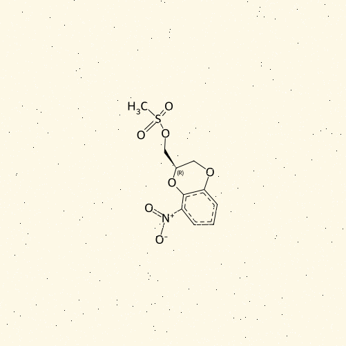 CS(=O)(=O)OC[C@H]1COc2cccc([N+](=O)[O-])c2O1